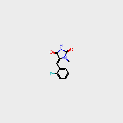 CN1C(=O)NC(=O)C1=Cc1ccccc1F